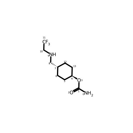 NC(=O)O[C@H]1CC[C@H](CNCC(F)(F)F)CC1